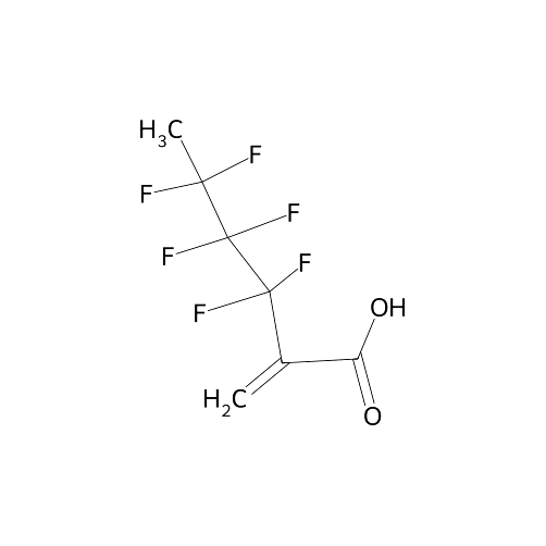 C=C(C(=O)O)C(F)(F)C(F)(F)C(C)(F)F